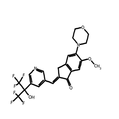 COc1cc2c(cc1N1CCOCC1)CC(=Cc1cncc(C(O)(C(F)(F)F)C(F)(F)F)c1)C2=O